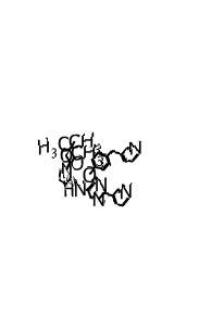 CC(C)(C)OC(=O)N1CCC[C@H]1CNc1cnc(-c2cccnc2)nc1Oc1ccc(Cc2cccnc2)cc1